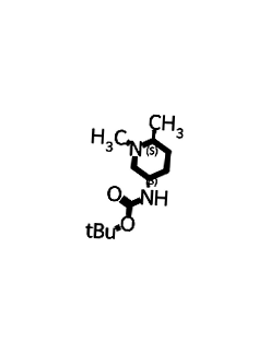 C[C@H]1CC[C@H](NC(=O)OC(C)(C)C)CN1C